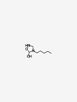 CCCCCN1CNOC1O